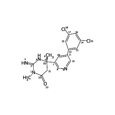 CN1C(=N)N[C@](C)(c2cncc(-c3cc(Cl)cc(Cl)c3)c2)CC1=O